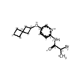 CC(Br)C(=O)Nc1ccc(OC2CC3(CCC3)C2)cn1